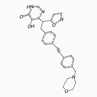 O=c1[nH]cnc(C(Cc2ccc(C#Cc3ccc(CN4CCOCC4)cc3)cc2)c2ccno2)c1O